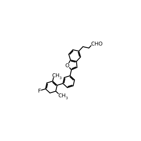 CC1=C(c2cccc(-c3cc4cc(CCC=O)ccc4o3)c2)C(C)CC(F)=C1